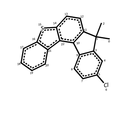 CC1(C)c2cc(Cl)ccc2-c2c1ccc1sc3ccccc3c21